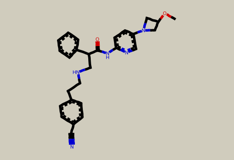 COC1CN(c2ccc(NC(=O)C(CNCCc3ccc(C#N)cc3)c3ccccc3)nc2)C1